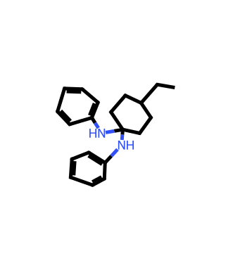 CCC1CCC(Nc2ccccc2)(Nc2ccccc2)CC1